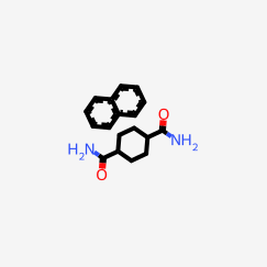 NC(=O)C1CCC(C(N)=O)CC1.c1ccc2ccccc2c1